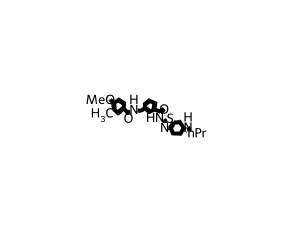 CCCN[C@H]1CCc2nc(NC(=O)c3cccc(CNC(=O)c4ccc(OC)c(C)c4)c3)sc2C1